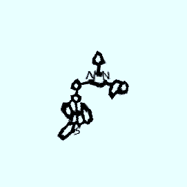 c1ccc(-c2nc(-c3cccc(-c4ccc5c(c4)-c4ccccc4C54c5ccccc5-c5sc6ccccc6c54)c3)cc(-c3ccc4ccccc4c3)n2)cc1